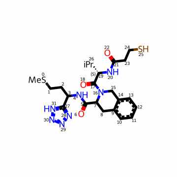 CSCCC(NC(=O)C1Cc2ccccc2CN1C(=O)[C@@H](NC(=O)CCS)C(C)C)c1nnn[nH]1